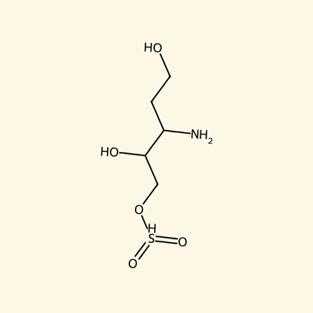 NC(CCO)C(O)CO[SH](=O)=O